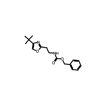 CC(C)(C)c1coc(CCNC(=O)OCc2ccccc2)n1